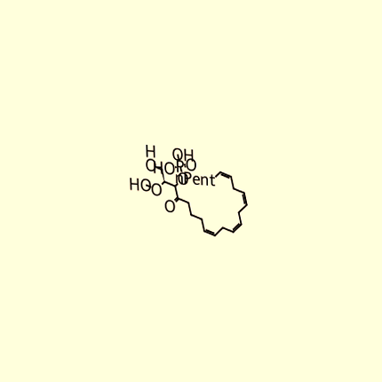 CCCCC/C=C\C/C=C\C/C=C\C/C=C\CCCC(=O)C(OP(=O)(O)O)[C@H](CO)OO